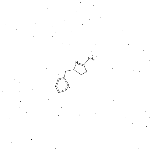 NC1=NC(Cc2ccccc2)CS1